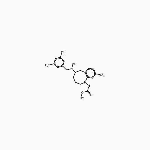 CC(=O)N(Cc1cc(C(F)(F)F)cc(C(F)(F)F)c1)C1CCCN(OC(=O)OC(C)C)c2cc(C(F)(F)F)ccc2C1